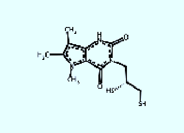 Cc1c(C)n(C)c2c(=O)n(C[C@@H](S)CS)c(=O)[nH]c12